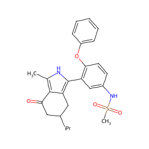 Cc1[nH]c(-c2cc(NS(C)(=O)=O)ccc2Oc2ccccc2)c2c1C(=O)CC(C(C)C)C2